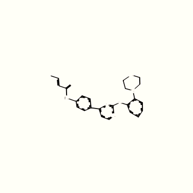 CC=CC(=O)Nc1ccc(-c2ccnc(Nc3ccccc3N3CCOCC3)n2)cc1